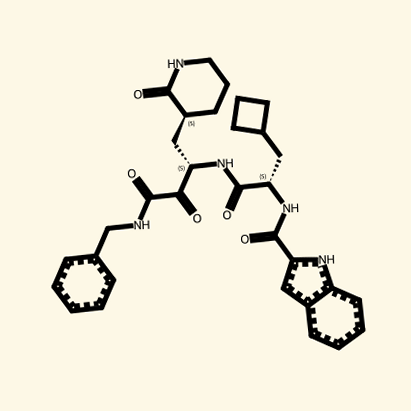 O=C(NCc1ccccc1)C(=O)[C@H](C[C@@H]1CCCNC1=O)NC(=O)[C@H](CC1CCC1)NC(=O)c1cc2ccccc2[nH]1